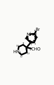 O=CC1(c2ccc(Br)nc2)CCNCC1